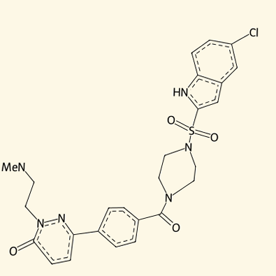 CNCCn1nc(-c2ccc(C(=O)N3CCN(S(=O)(=O)c4cc5cc(Cl)ccc5[nH]4)CC3)cc2)ccc1=O